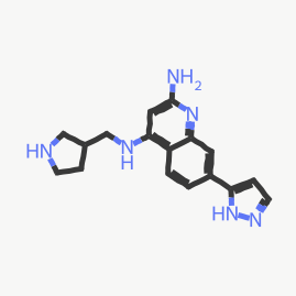 Nc1cc(NCC2CCNC2)c2ccc(-c3ccn[nH]3)cc2n1